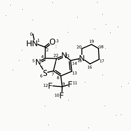 CNC(=O)c1nsc2c(C(F)(F)F)cc(N3CC[CH]CC3)nc12